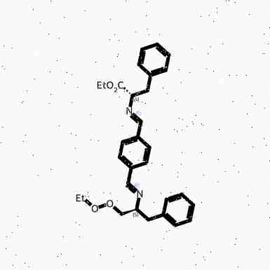 CCOOC[C@H](Cc1ccccc1)/N=C/c1ccc(/C=N/[C@@H](Cc2ccccc2)C(=O)OCC)cc1